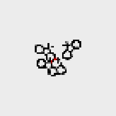 CC1(C)c2ccccc2-c2ccc(N(c3ccc4c(c3)C(C)(C)c3ccccc3-4)c3cccc4ccc5c(c34)C(C)(C)c3ccccc3-5)cc21